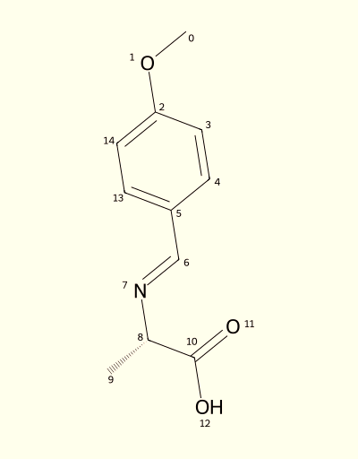 COc1ccc(/C=N/[C@@H](C)C(=O)O)cc1